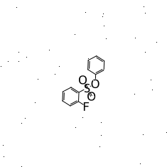 O=S(=O)(Oc1ccccc1)c1ccccc1F